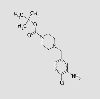 CC(C)(C)OC(=O)N1CCN(Cc2ccc(Cl)c(N)c2)CC1